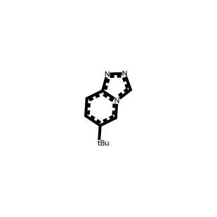 CC(C)(C)c1ccc2nncn2c1